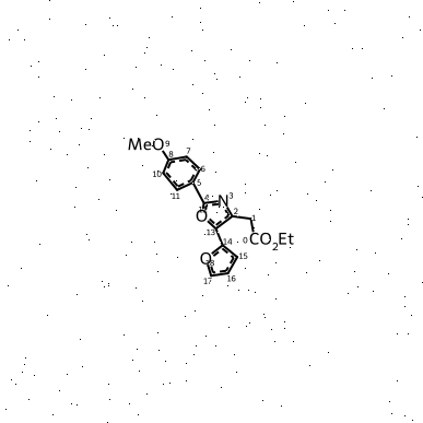 CCOC(=O)Cc1nc(-c2ccc(OC)cc2)oc1-c1ccco1